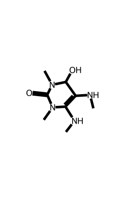 CNC1=C(NC)N(C)C(=O)N(C)C1O